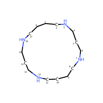 C1CCNCCCNCCCCNCCCNC1